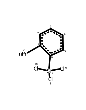 CCCc1ccccc1[Si](Cl)(Cl)Cl